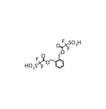 O=C(OCc1ccccc1COC(=O)C(F)(F)S(=O)(=O)O)C(F)(F)S(=O)(=O)O